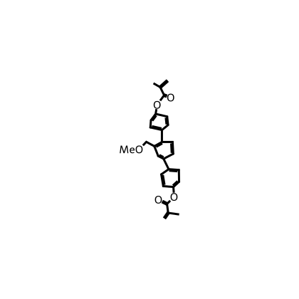 C=C(C)C(=O)Oc1ccc(-c2ccc(-c3ccc(OC(=O)C(=C)C)cc3)c(COC)c2)cc1